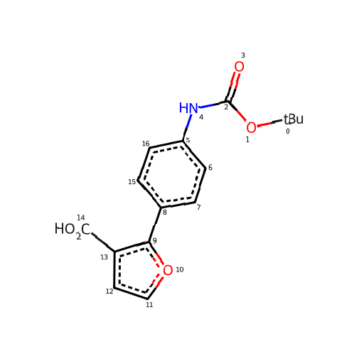 CC(C)(C)OC(=O)Nc1ccc(-c2occc2C(=O)O)cc1